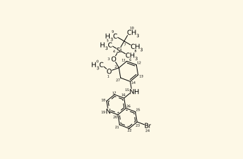 COC1(O[Si](C)(C)C(C)(C)C)C=CC=C(Nc2ccnc3ccc(Br)cc23)C1